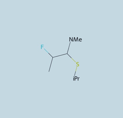 CNC(SC(C)C)C(C)F